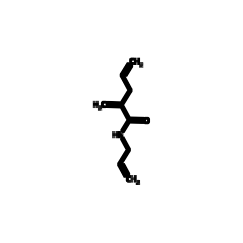 C=CCNC(=O)C(=C)CC=C